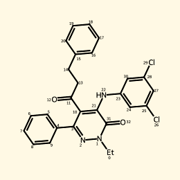 CCn1nc(-c2ccccc2)c(C(=O)CCc2ccccc2)c(Nc2cc(Cl)cc(Cl)c2)c1=O